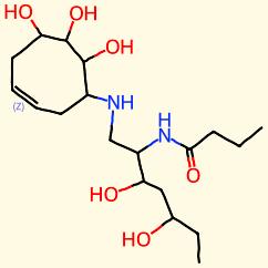 CCCC(=O)NC(CNC1C/C=C\CC(O)C(O)C1O)C(O)CC(O)CC